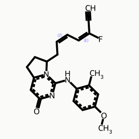 C#C/C(F)=C\C=C/CC1CCc2cc(=O)nc(Nc3ccc(OC)cc3C)n21